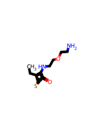 CCc1c(NCCOCCN)c(=O)c1=S